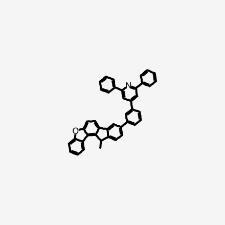 CC1c2ccc(-c3cccc(-c4cc(-c5ccccc5)nc(-c5ccccc5)c4)c3)cc2-c2ccc3oc4ccccc4c3c21